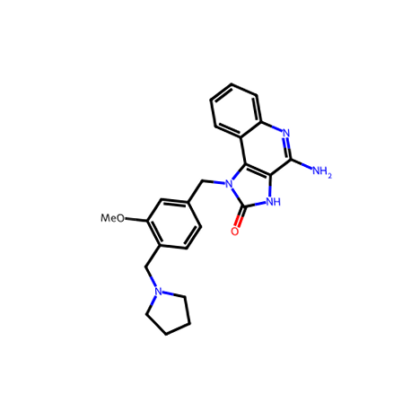 COc1cc(Cn2c(=O)[nH]c3c(N)nc4ccccc4c32)ccc1CN1CCCC1